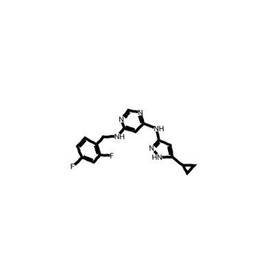 Fc1ccc(CNc2cc(Nc3cc(C4CC4)[nH]n3)ncn2)c(F)c1